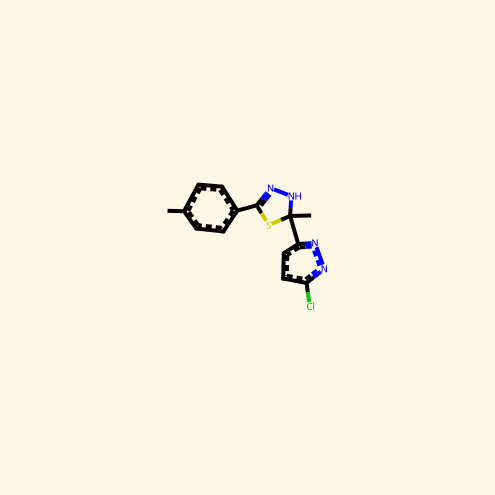 Cc1ccc(C2=NNC(C)(c3ccc(Cl)nn3)S2)cc1